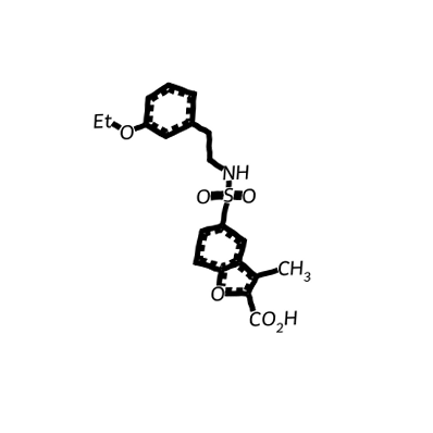 CCOc1cccc(CCNS(=O)(=O)c2ccc3oc(C(=O)O)c(C)c3c2)c1